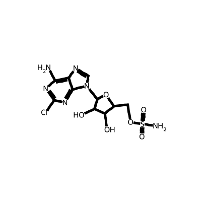 Nc1nc(Cl)nc2c1ncn2C1OC(COS(N)(=O)=O)C(O)C1O